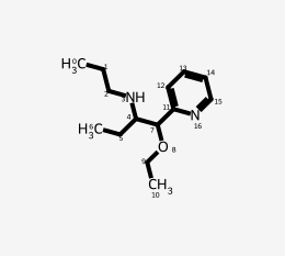 CCCNC(CC)C(OCC)c1ccccn1